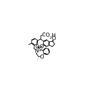 Cc1ccc(C(CC(=O)O)c2ccc3c(c2)C(=O)CC3)cc1CN1C[C@@H](C)Oc2ccccc2S1(=O)=O